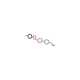 C=CCC1CCC(C2CCC(COc3ccc(C)cc3)CC2)CC1